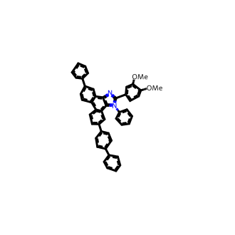 COc1ccc(-c2nc3c4cc(-c5ccccc5)ccc4c4ccc(-c5ccc(-c6ccccc6)cc5)cc4c3n2-c2ccccc2)cc1OC